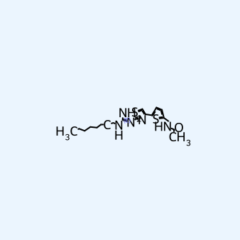 CCCCCCCCN/C(N)=N/c1nc(-c2ccc(CNC(C)=O)s2)cs1